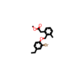 CCc1ccc(OCc2c(C)cccc2CC(=O)OC)c(Br)c1